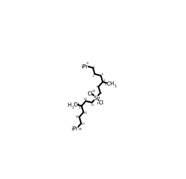 CC(C)CCCC(C)CC[Si](Cl)(Cl)CCC(C)CCCC(C)C